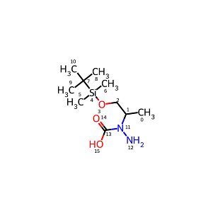 CC(CO[Si](C)(C)C(C)(C)C)N(N)C(=O)O